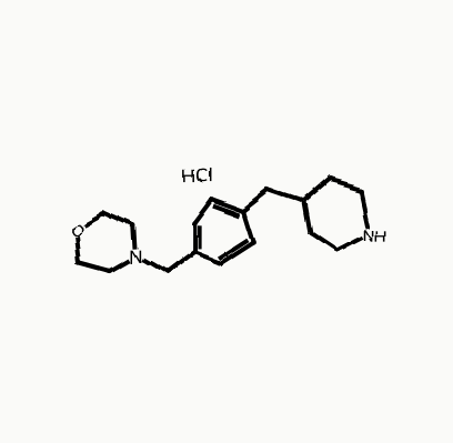 Cl.c1cc(CN2CCOCC2)ccc1CC1CCNCC1